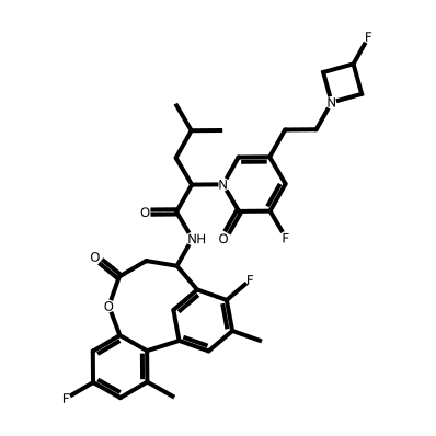 Cc1cc2cc(c1F)C(NC(=O)C(CC(C)C)n1cc(CCN3CC(F)C3)cc(F)c1=O)CC(=O)Oc1cc(F)cc(C)c1-2